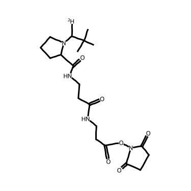 [2H]C(N1CCCC1C(=O)NCCC(=O)NCCC(=O)ON1C(=O)CCC1=O)C(C)(C)C